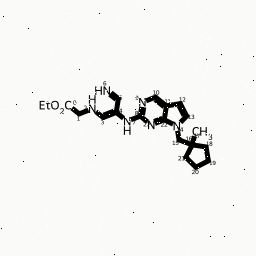 CCOC(=O)CN/C=C(\C=N)Nc1ncc2ccn(CC3(C)CCCC3)c2n1